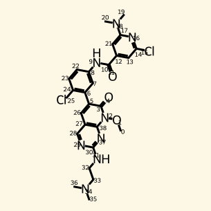 COn1c(=O)c(-c2cc(NC(=O)c3cc(Cl)nc(N(C)C)c3)ccc2Cl)cc2cnc(NCCN(C)C)nc21